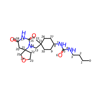 CCCCNC(=O)NC1CCC(C)(CN2C(=O)NC(=O)CC23CCOC3)CC1